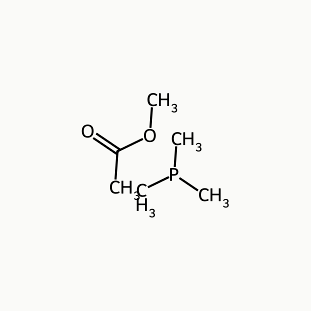 COC(C)=O.CP(C)C